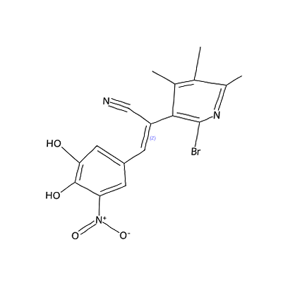 Cc1nc(Br)c(/C(C#N)=C/c2cc(O)c(O)c([N+](=O)[O-])c2)c(C)c1C